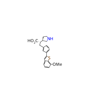 COc1cccc2cc(-c3cccc(C[C@H](C(=O)O)[C@H]4CCNC4)c3)sc12